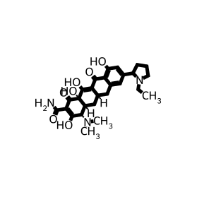 CCN1CCCC1c1cc(O)c2c(c1)C[C@H]1C[C@H]3[C@H](N(C)C)C(O)=C(C(N)=O)C(=O)[C@@]3(O)C(O)=C1C2=O